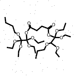 CCCCOC(OCC)(OCC)C(OCC)(OCC)OC(=O)CCC(=O)OC(OCC)(OCC)C(OCC)OCCC